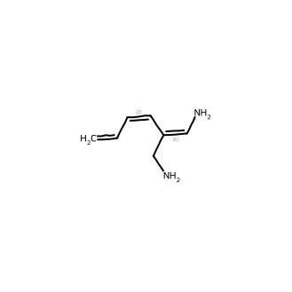 C=C/C=C\C(=C/N)CN